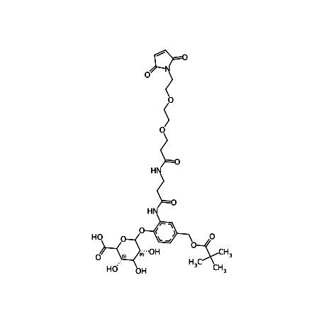 CC(C)(C)C(=O)OCc1ccc(OC2OC(C(=O)O)[C@@H](O)C(O)[C@H]2O)c(NC(=O)CCNC(=O)CCOCCOCCN2C(=O)C=CC2=O)c1